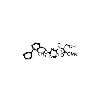 COC(=O)[C@H](CO)Nc1ncnc(OCc2cccc(-c3ccccc3)c2C)n1